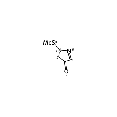 CSN1CC(=O)C=N1